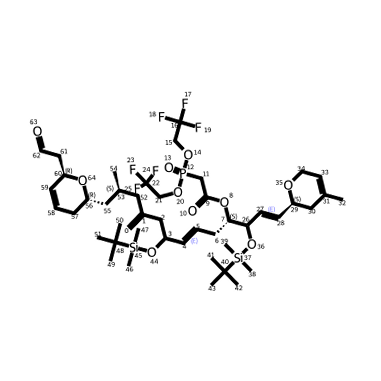 C=C(CC(/C=C/C[C@H](OC(=O)CP(=O)(OCC(F)(F)F)OCC(F)(F)F)C(/C=C/[C@@H]1CC(C)=CCO1)O[Si](C)(C)C(C)(C)C)O[Si](C)(C)C(C)(C)C)C[C@H](C)C[C@@H]1CC=C[C@@H](CC=O)O1